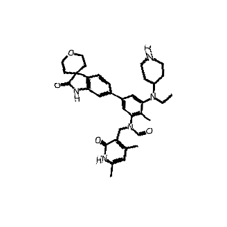 CCN(c1cc(-c2ccc3c(c2)NC(=O)C32CCOCC2)cc(N(C=O)Cc2c(C)cc(C)[nH]c2=O)c1C)C1CCNCC1